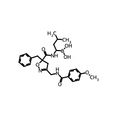 COc1ccc(C(=O)NCC2=NOC(Cc3ccccc3)(C(=O)NC(CC(C)C)B(O)O)C2)cc1